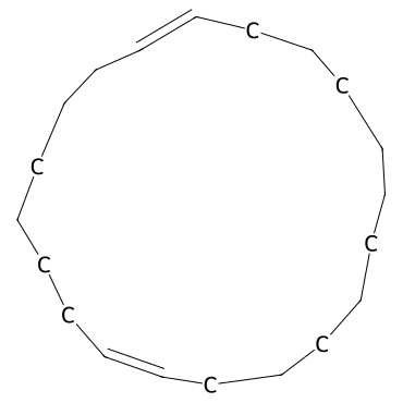 C1=CCCCCCCCCCCC=CCCCCCC1